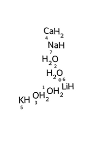 O.O.O.O.[CaH2].[KH].[LiH].[NaH]